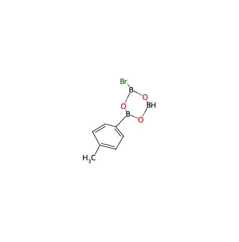 Cc1ccc(B2OBOB(Br)O2)cc1